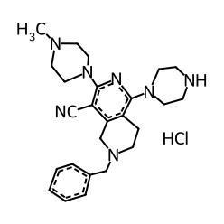 CN1CCN(c2nc(N3CCNCC3)c3c(c2C#N)CN(Cc2ccccc2)CC3)CC1.Cl